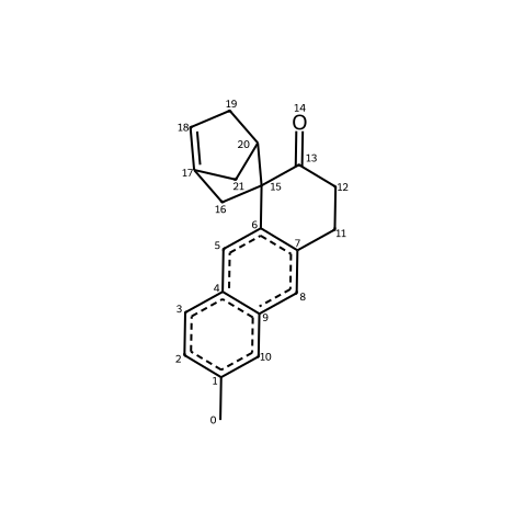 Cc1ccc2cc3c(cc2c1)CCC(=O)C31CC2=CCC1C2